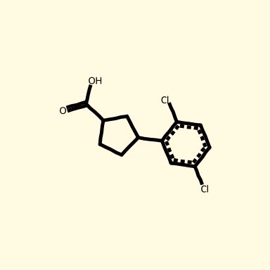 O=C(O)C1CCC(c2cc(Cl)ccc2Cl)C1